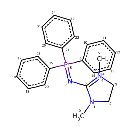 CN1CC[N+](C)=C1N=P(c1ccccc1)(c1ccccc1)c1ccccc1